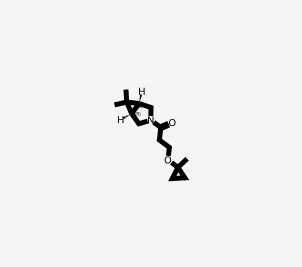 CC1(OCCC(=O)N2C[C@@H]3[C@H](C2)C3(C)C)CC1